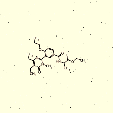 CCCOc1ccc(C(=O)NC(C)C(=O)OCC)cc1-c1nc(CC)c(CC)c(=O)n1C